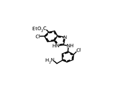 CCOC(=O)c1cc2nc(Nc3cc(CN)ccc3Cl)[nH]c2cc1Cl